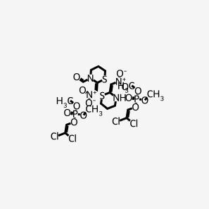 COP(=O)(OC)OC=C(Cl)Cl.COP(=O)(OC)OC=C(Cl)Cl.O=CN1CCCSC1=C[N+](=O)[O-].O=[N+]([O-])C=C1NCCCS1